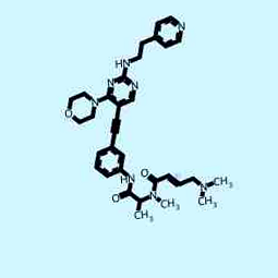 CC(C(=O)Nc1cccc(C#Cc2cnc(NCCc3ccncc3)nc2N2CCOCC2)c1)N(C)C(=O)/C=C/CN(C)C